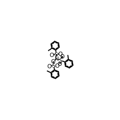 Cc1ccccc1S(=O)(=O)ON(S(=O)(=O)c1ccccc1C)S(=O)(=O)c1ccccc1C